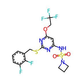 O=S(=O)(Nc1cc(OCC(F)(F)F)nc(SCc2cccc(F)c2F)n1)N1CCC1